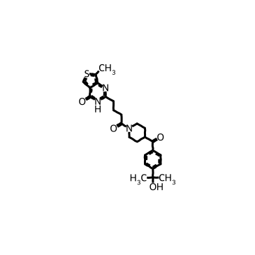 Cc1scc2c(=O)[nH]c(CCCC(=O)N3CCC(C(=O)c4ccc(C(C)(C)O)cc4)CC3)nc12